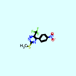 CSc1nnc(C(F)(F)F)c(-c2ccc([N+](=O)[O-])cc2)n1